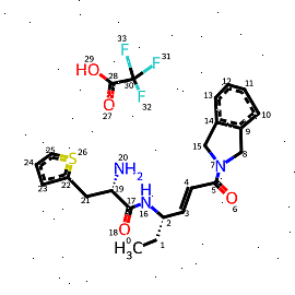 CC[C@@H](/C=C/C(=O)N1Cc2ccccc2C1)NC(=O)[C@@H](N)Cc1cccs1.O=C(O)C(F)(F)F